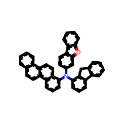 c1ccc2c(c1)Cc1c-2cccc1N(c1ccc2c(c1)oc1ccccc12)c1cccc2c1ccc1c3ccccc3ccc21